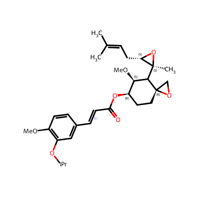 COc1ccc(/C=C/C(=O)O[C@@H]2CC[C@]3(CO3)C([C@]3(C)O[C@H]3CC=C(C)C)[C@@H]2OC)cc1OC(C)C